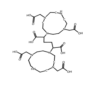 O=C(O)CN1CCNCCN(CC(=O)O)CCN(C(CCC(C(=O)O)N2CCN(CC(=O)O)CCNCCN(CC(=O)O)CC2)C(=O)O)CC1